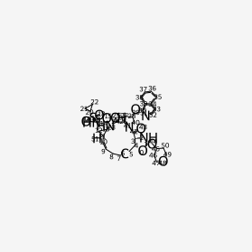 O=C(N[C@H]1CCCCC/C=C\[C@@H]2C[C@@]2(C(=O)NS(=O)(=O)C2CC2)NC(=O)[C@@H]2C[C@@H](Oc3nccc4ccccc34)CN2C1=O)OC1CCOCC1